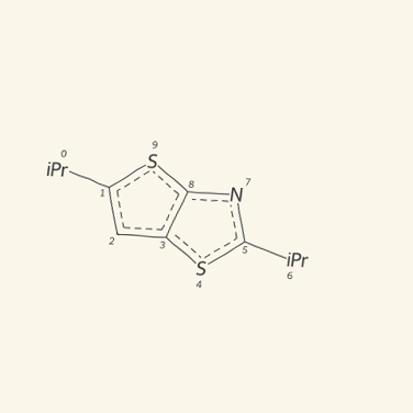 CC(C)c1cc2sc(C(C)C)nc2s1